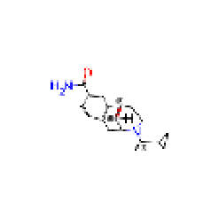 C[C@H](C1CC1)N1CC[C@]23CCCC[C@H]2C1Cc1ccc(C(N)=O)cc13